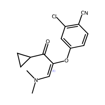 CN(C)/C=C(/Oc1ccc(C#N)c(Cl)c1)C(=O)C1CC1